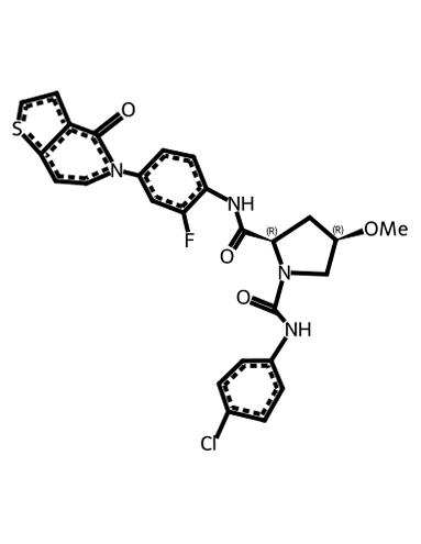 CO[C@@H]1C[C@H](C(=O)Nc2ccc(-n3ccc4sccc4c3=O)cc2F)N(C(=O)Nc2ccc(Cl)cc2)C1